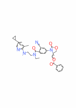 CCN(CCN(C)c1ncc(C2CC2)cc1C)C(=O)c1ccc(N2C(=O)OC[C@H]2COC(=O)c2ccccc2)cc1C#N